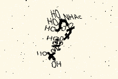 CC(=O)NC1C(OC(C)(C)CC(C)(C)COP(=O)(O)OC(C)(C)N(C)OCC(C)(CO)CO)OC(CO)C(O)C1O